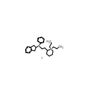 CCC[N+]1(CCC)CCCCC1CCN(c1ccccc1)C1Cc2ccccc2C1.[I-]